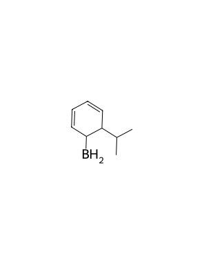 BC1C=CC=CC1C(C)C